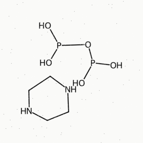 C1CNCCN1.OP(O)OP(O)O